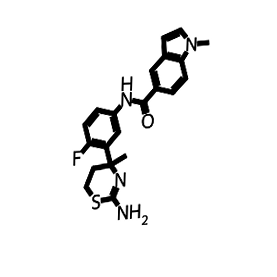 Cn1ccc2cc(C(=O)Nc3ccc(F)c(C4(C)CCSC(N)=N4)c3)ccc21